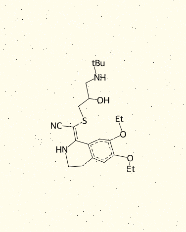 CCOc1cc2c(cc1OCC)C(=C(C#N)SCC(O)CNC(C)(C)C)NCC2